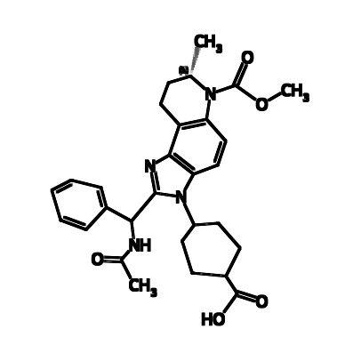 COC(=O)N1c2ccc3c(nc(C(NC(C)=O)c4ccccc4)n3C3CCC(C(=O)O)CC3)c2CC[C@@H]1C